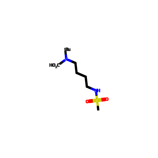 CC(C)(C)N(CCCCNS(C)(=O)=O)C(=O)O